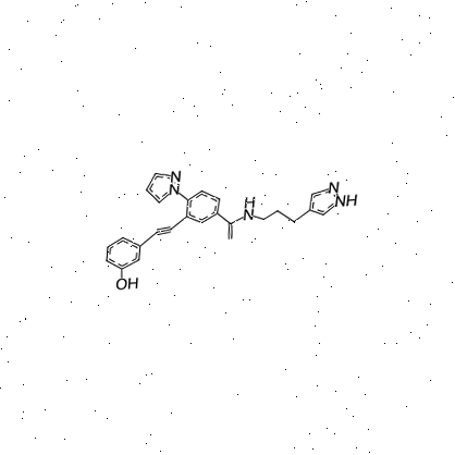 C=C(NCCCc1cn[nH]c1)c1ccc(-n2cccn2)c(C#Cc2cccc(O)c2)c1